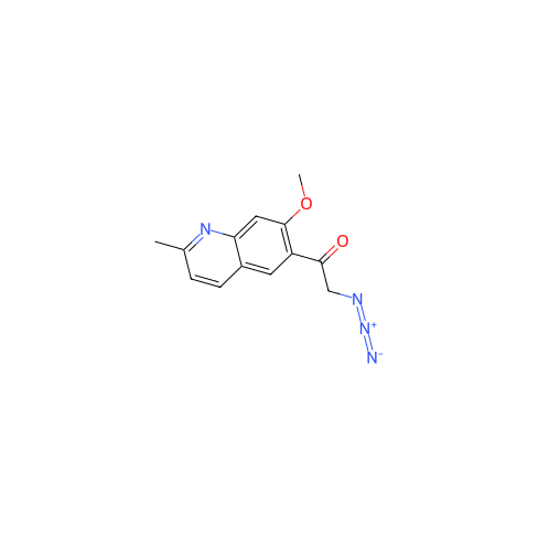 COc1cc2nc(C)ccc2cc1C(=O)CN=[N+]=[N-]